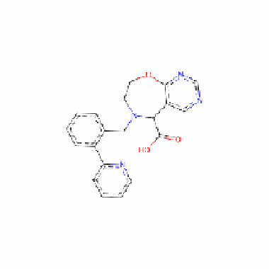 O=C(O)C1c2cncnc2OCCN1Cc1ccccc1-c1ccccn1